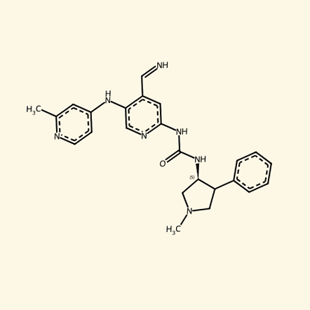 Cc1cc(Nc2cnc(NC(=O)N[C@@H]3CN(C)CC3c3ccccc3)cc2C=N)ccn1